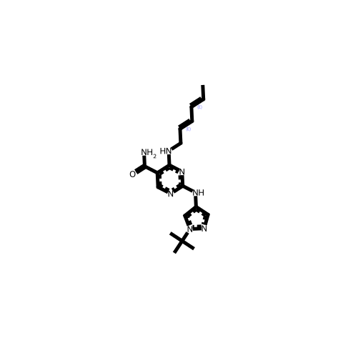 C/C=C/C=C/CNc1nc(Nc2cnn(C(C)(C)C)c2)ncc1C(N)=O